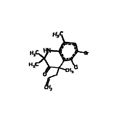 C=CCC1(C)C(=O)C(C)(C)Nc2c(C)cc(Br)c(Cl)c21